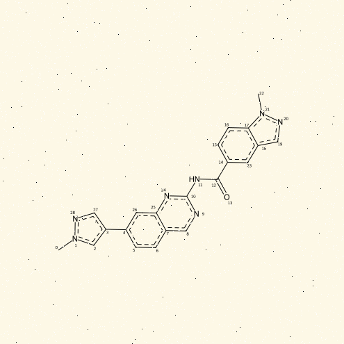 Cn1cc(-c2ccc3cnc(NC(=O)c4ccc5c(cnn5C)c4)nc3c2)cn1